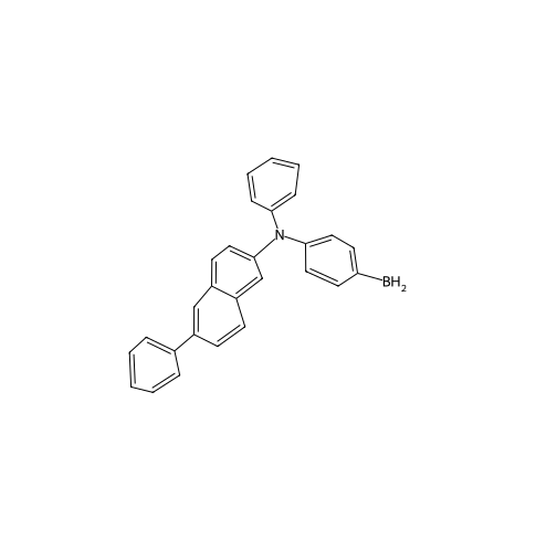 Bc1ccc(N(c2ccccc2)c2ccc3cc(-c4ccccc4)ccc3c2)cc1